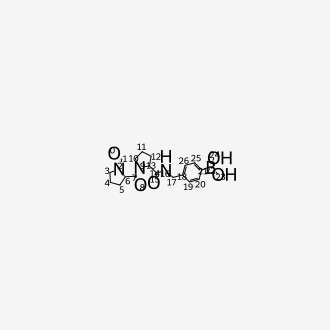 O=CN1CCCC1C(=O)N1CCCC1C(=O)NCc1ccc(B(O)O)cc1